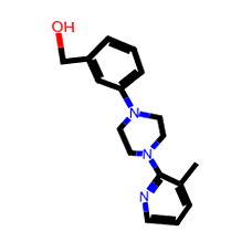 Cc1cccnc1N1CCN(c2cccc(CO)c2)CC1